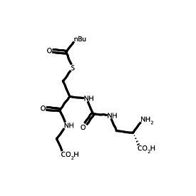 CCCCC(=O)SCC(NC(=O)NC[C@H](N)C(=O)O)C(=O)NCC(=O)O